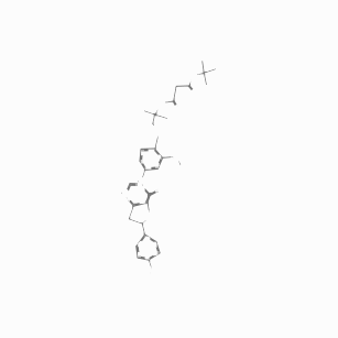 COc1cc(-n2cnc3c(c2=O)SC(c2ccc(Cl)cc2)C3)ccc1OCC(C)(C)OC(=O)CC(=O)OC(C)(C)C